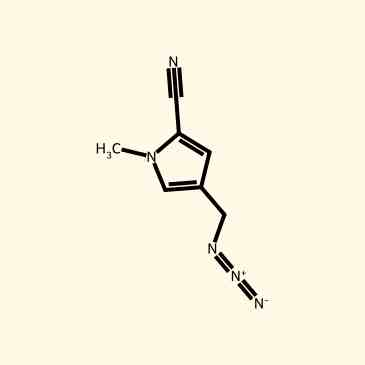 Cn1cc(CN=[N+]=[N-])cc1C#N